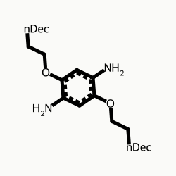 CCCCCCCCCCCCOc1cc(N)c(OCCCCCCCCCCCC)cc1N